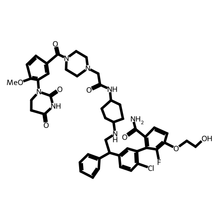 COc1ccc(C(=O)N2CCN(CC(=O)NC3CCC(NCC(c4ccccc4)c4ccc(Cl)c(-c5c(C(N)=O)ccc(OCCO)c5F)c4)CC3)CC2)cc1N1CCC(=O)NC1=O